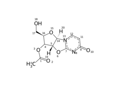 CC(=O)OC1[C@H]2Oc3nc(=O)ccn3[C@@H]2O[C@@H]1CO